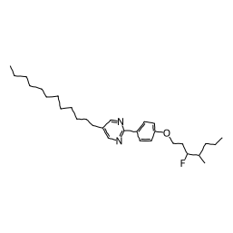 CCCCCCCCCCCCc1cnc(-c2ccc(OCCC(F)C(C)CCC)cc2)nc1